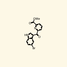 COC(=O)c1cccc(C(=O)c2c[nH]c3ccc(Br)cc23)n1